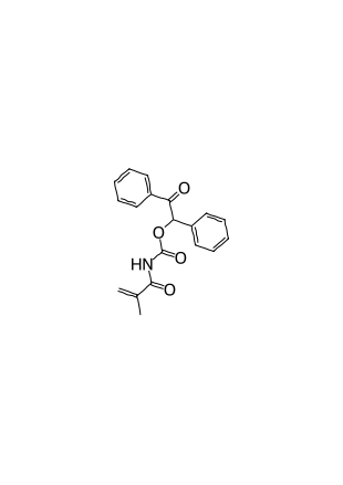 C=C(C)C(=O)NC(=O)OC(C(=O)c1ccccc1)c1ccccc1